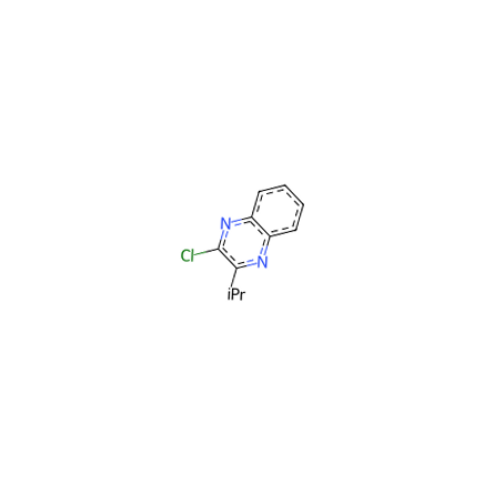 CC(C)c1nc2ccccc2nc1Cl